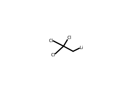 [Li][CH2]C(Cl)(Cl)Cl